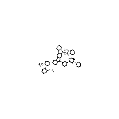 Cc1ccccc1-c1cc(-c2ccc3c(c2)c2cc4c(cc2n3-c2cccc(-c3nc(-c5ccccc5)nc(-c5ccccc5)n3)c2)C(C)(C)c2ccccc2-4)ccc1C